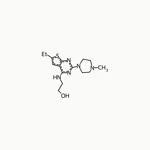 CCc1cc2c(NCCO)nc(N3CCN(C)CC3)nc2s1